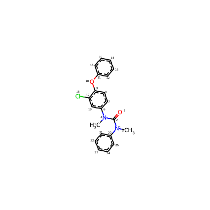 CN(C(=O)N(C)c1ccc(Oc2ccccc2)c(Cl)c1)c1ccccc1